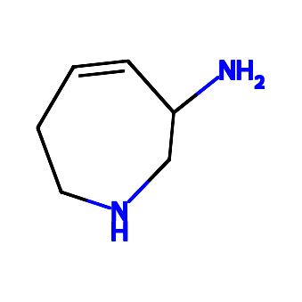 NC1C=CCCNC1